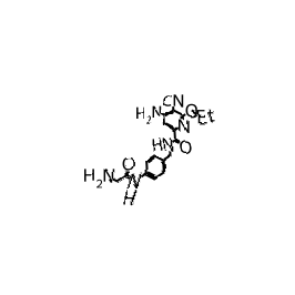 CCOc1nc(C(=O)NCc2ccc(NC(=O)CN)cc2)cc(N)c1C#N